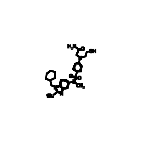 CN(c1ccc2c(c1)nc(C(C)(C)C)n2CC1CCCCC1)S(=O)(=O)c1ccc(N(CCO)CC(N)=O)cc1